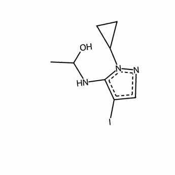 CC(O)Nc1c(I)cnn1C1CC1